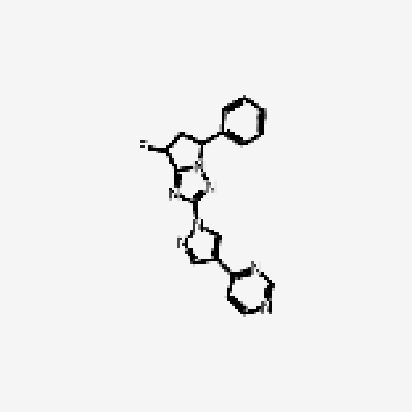 FC1CC(c2ccccc2)n2nc(-n3cc(-c4ccncn4)cn3)nc21